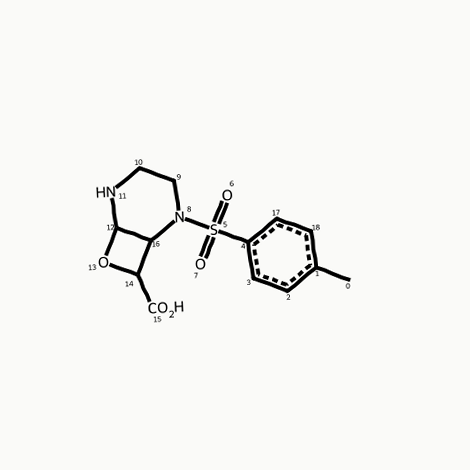 Cc1ccc(S(=O)(=O)N2CCNC3OC(C(=O)O)C32)cc1